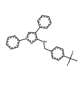 FC(F)(F)c1ccc(CNc2nn(-c3ccccc3)cc2-c2ccccc2)cc1